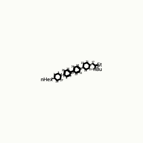 CCCCCC[C@H]1CC[C@H](c2ccc(-c3ccc([C@H]4CC[C@H](CC(CC)CCCC)CC4)cc3)cc2)CC1